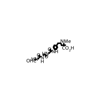 CNC(Cc1ccc(NC(=O)CNC(=O)CNC(=O)CNC=O)cc1)CC(C)(C)C(=O)O